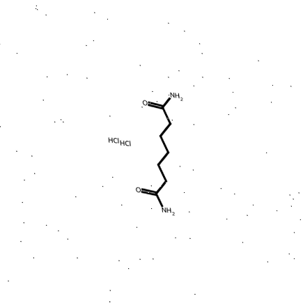 Cl.Cl.NC(=O)CCCCCC(N)=O